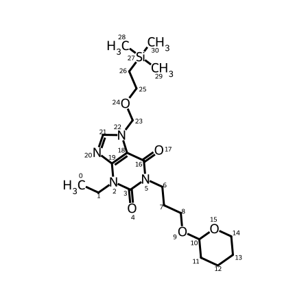 CCn1c(=O)n(CCCOC2CCCCO2)c(=O)c2c1ncn2COCC[Si](C)(C)C